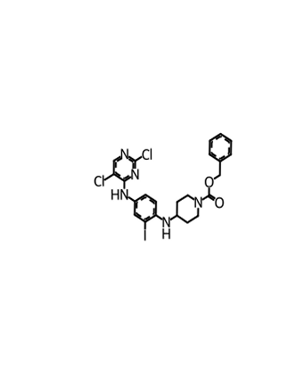 O=C(OCc1ccccc1)N1CCC(Nc2ccc(Nc3nc(Cl)ncc3Cl)cc2I)CC1